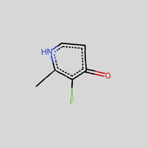 Cc1[nH]ccc(=O)c1F